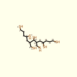 SCCCC(S)CC(CS)C(S)C(CS)CC(S)CCCS